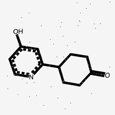 O=C1CCC(c2cc(O)ccn2)CC1